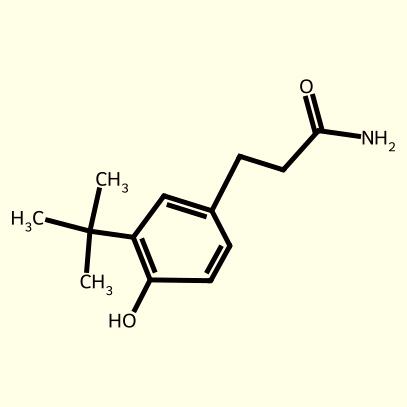 CC(C)(C)c1cc(CCC(N)=O)ccc1O